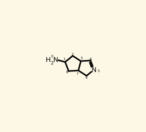 NC1CC2C=NCC2C1